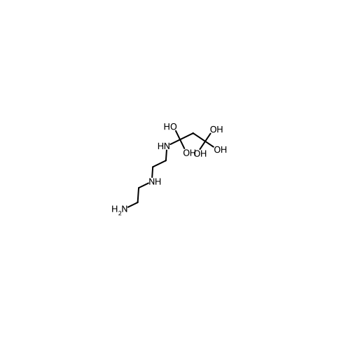 NCCNCCNC(O)(O)CC(O)(O)O